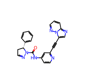 O=C(Nc1ccnc(C#Cc2cnc3cccnn23)c1)N1N=CC[C@@H]1c1ccccc1